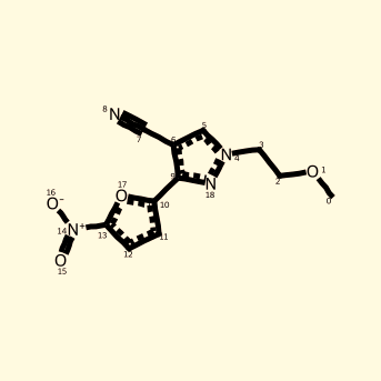 COCCn1cc(C#N)c(-c2ccc([N+](=O)[O-])o2)n1